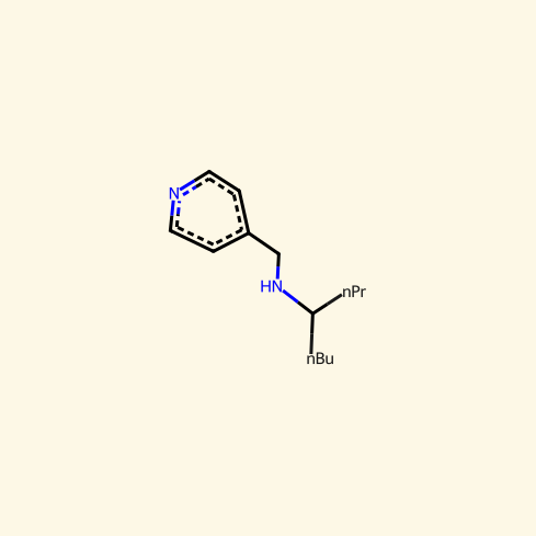 CCCCC(CCC)NCc1ccncc1